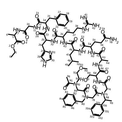 CCOC(=O)C(C)NC(=O)CNC(=O)C(Cc1ccccc1)NC(=O)C(Cc1c[nH]cn1)NC(=O)C(CCCNC(=N)N)NC(=O)C(CC(C)C)NC(=O)C(CCC(N)=O)NC(=O)C(C)NC(=O)C(CO)NC(=O)CN(C(=O)CN(Cc1ccccc1)C(=O)CN(CCOC)C(C)=O)C(C)c1ccccc1